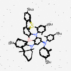 Cc1cc(C(C)(C)C)ccc1N(c1cc2c3c(c1)N1c4c(cc(C(C)(C)C)cc4C4(C)CCCCC14C)B3c1ccc3c(sc4cc(C(C)(C)C)ccc43)c1N2c1c(C)cc(C(C)(C)C)cc1C)c1ccc(C(C)(C)C)cc1C